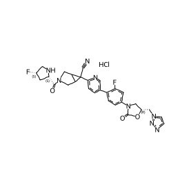 Cl.N#CC1(c2ccc(-c3ccc(N4C[C@H](Cn5ccnn5)OC4=O)cc3F)cn2)C2CN(C(=O)[C@@H]3C[C@H](F)CN3)CC21